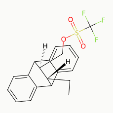 CC[C@@H]1C2c3ccccc3C(c3ccccc32)[C@H]1COS(=O)(=O)C(F)(F)F